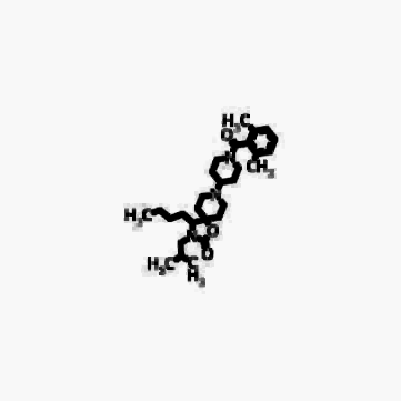 CCCCC1N(CC(C)C)C(=O)OC12CCN(C1CCN(C(=O)c3c(C)cccc3C)CC1)CC2